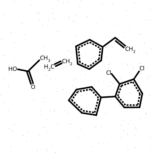 C=C.C=Cc1ccccc1.CC(=O)O.Clc1cccc(-c2ccccc2)c1Cl